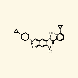 CCOC1=CC(=N)/C(=C\N[C@H]2CC[C@H](C3CC3)CC2)C=C1NC(=O)c1cccc(C2CC2)[n+]1O